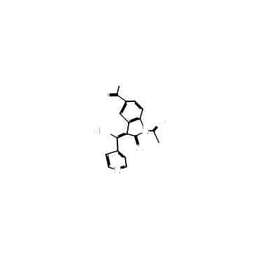 CC(=O)c1ccc2c(c1)/C(=C(\O)c1ccncc1)C(=O)N2C(C)=O